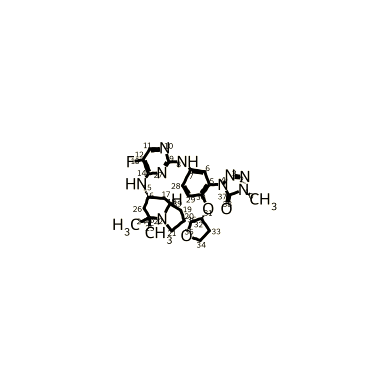 Cn1nnn(-c2cc(Nc3ncc(F)c(N[C@@H]4C[C@@H]5CCCN5C(C)(C)C4)n3)ccc2O[C@@H]2CCOC2)c1=O